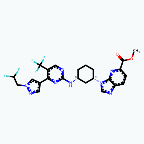 COC(=O)c1ccc2ncn([C@H]3CCC[C@@H](Nc4ncc(C(F)(F)F)c(-c5cnn(CC(F)F)c5)n4)C3)c2n1